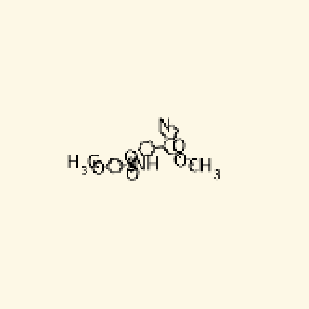 CCOC(=O)/C=C(\c1cccnc1)c1cccc(NS(=O)(=O)c2ccc(OC)cc2)c1